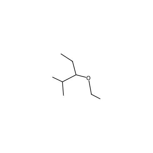 CCOC(CC)C(C)C